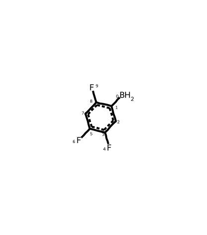 Bc1cc(F)c(F)cc1F